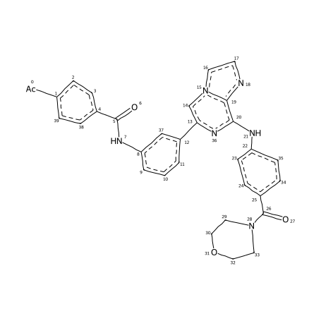 CC(=O)c1ccc(C(=O)Nc2cccc(-c3cn4ccnc4c(Nc4ccc(C(=O)N5CCOCC5)cc4)n3)c2)cc1